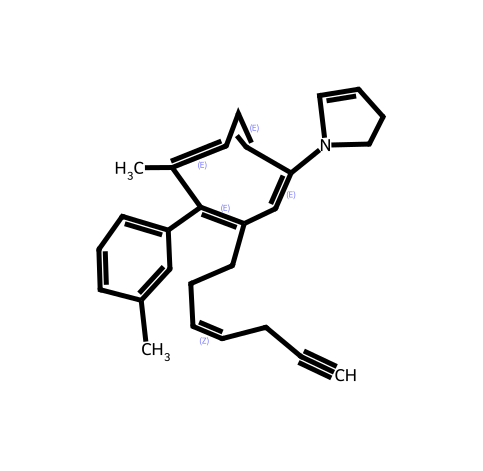 C#CC/C=C\CCC1=C(c2cccc(C)c2)/C(C)=C/C=C/C(N2C=CCC2)=C\1